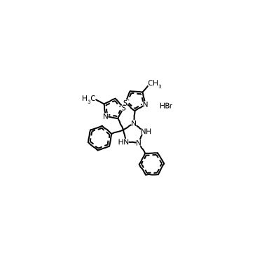 Br.Cc1csc(N2NN(c3ccccc3)NC2(c2ccccc2)c2nc(C)cs2)n1